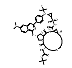 CN(C)c1ccc2c(O[C@@H]3C[C@H]4C(=O)N[C@]5(C(=O)NS(=O)(=O)C6CC6)C[C@H]5CCCCOCC[C@H](NC(=O)OC(C)(C)C)C(=O)N4C3)nc(-c3ccc(OC(F)(F)F)cc3)cc2c1